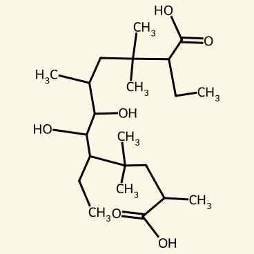 CCC(C(=O)O)C(C)(C)CC(C)C(O)C(O)C(CC)C(C)(C)CC(C)C(=O)O